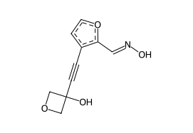 O/N=C/c1occc1C#CC1(O)COC1